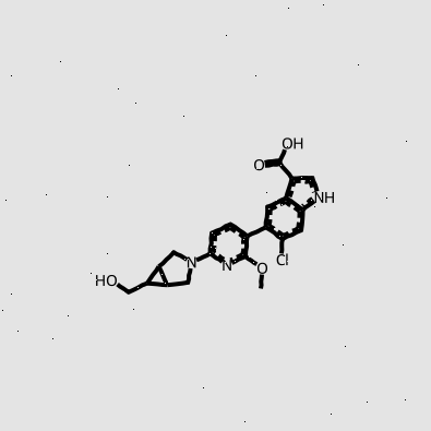 COc1nc(N2CC3C(CO)C3C2)ccc1-c1cc2c(C(=O)O)c[nH]c2cc1Cl